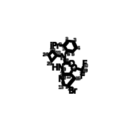 CC(C)c1ccccc1N(C(=O)Nc1ncc(Br)cc1OC(F)F)C1CCC1